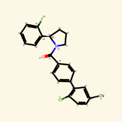 N#Cc1ccc(Cl)c(-c2ccc(C(=O)N3CCC[C@@H]3c3ccccc3F)cc2)c1